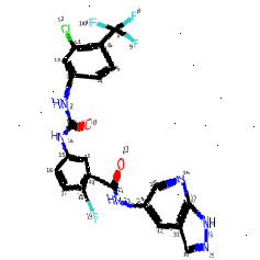 O=C(Nc1ccc(C(F)(F)F)c(Cl)c1)Nc1ccc(F)c(C(=O)Nc2cnc3[nH]ncc3c2)c1